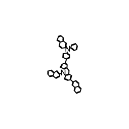 c1ccc(N(c2ccc(-c3ccc4c(c3)Cc3cc(-c5ccc6ccccc6c5)ccc3N4c3ccc4ccccc4c3)cc2)c2ccc3ccccc3c2)cc1